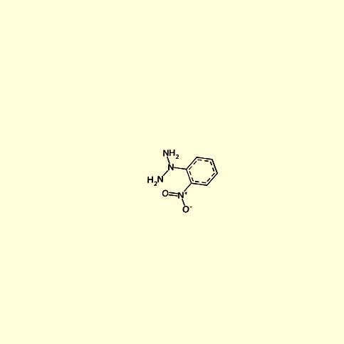 NN(N)c1ccccc1[N+](=O)[O-]